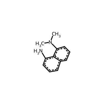 CN(C)c1cccc2cccc(N)c12